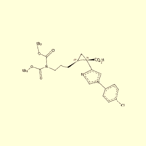 CC(C)(C)OC(=O)N(CCC[C@H]1C[C@]1(C(=O)O)c1cn(-c2ccc(Cl)cc2)cn1)C(=O)OC(C)(C)C